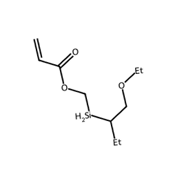 C=CC(=O)OC[SiH2]C(CC)COCC